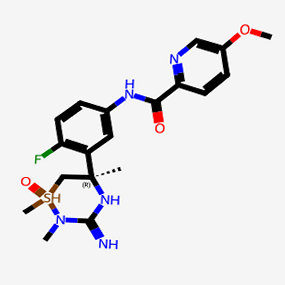 COc1ccc(C(=O)Nc2ccc(F)c([C@]3(C)C[SH](C)(=O)N(C)C(=N)N3)c2)nc1